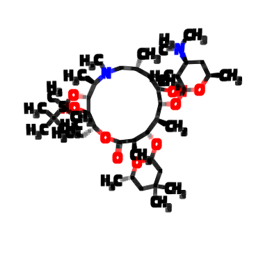 CC[C@H]1OC(=O)[C@H](C)[C@@H](OC2CC(C)(C)C[C@H](C)O2)[C@H](C)[C@@H](OC2O[C@H](C)C[C@H](N(C)C)[C@H]2C)[C@](C)(O)C[C@@H](C)CN(C)[C@H](C)[C@@H](O[Si](C)(C)C(C)(C)C)[C@]1(C)O